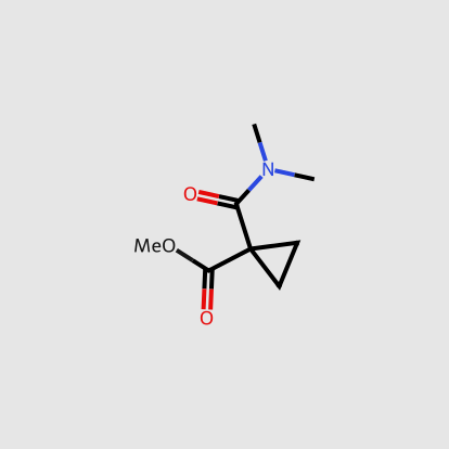 COC(=O)C1(C(=O)N(C)C)CC1